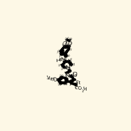 CC/C(=C\c1cc(=O)n(CCN2CCC(NCc3ccc4c(c3)OCCO4)CC2)c2cc(OC)ccc12)C(=O)O